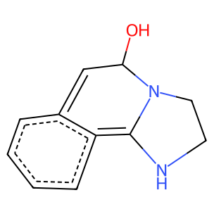 OC1C=c2ccccc2=C2NCCN21